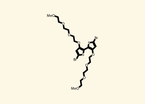 COCCOCCOCCOc1cc(Br)sc1-c1sc(Br)cc1OCCOCCOCCOC